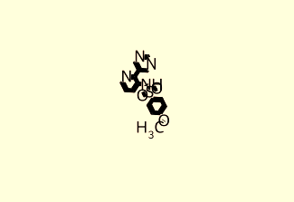 COc1ccc(S(=O)(=O)Nc2cccnc2-c2cncnc2)cc1